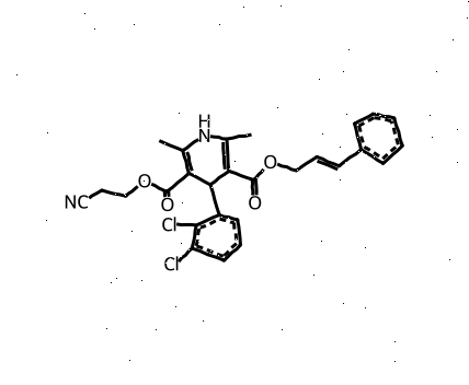 CC1=C(C(=O)OC/C=C/c2ccccc2)C(c2cccc(Cl)c2Cl)C(C(=O)OCCC#N)=C(C)N1